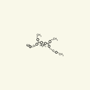 C=Cc1ccc(COCCCc2ccc(N(c3ccc(CCC)cc3)c3ccc(-c4ccc(N(c5ccc(CCC)cc5)c5ccc(COCc6ccc(C=C)cc6)cc5)cc4C)c(C)c3)cc2)cc1